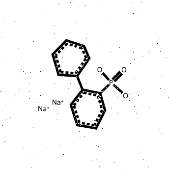 O=P([O-])([O-])c1ccccc1-c1ccccc1.[Na+].[Na+]